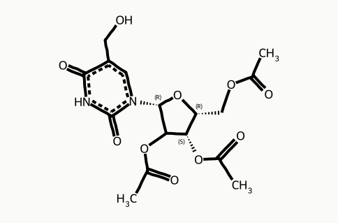 CC(=O)OC[C@H]1O[C@@H](n2cc(CO)c(=O)[nH]c2=O)C(OC(C)=O)[C@H]1OC(C)=O